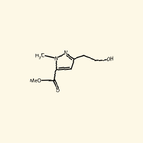 COC(=O)c1cc(CCO)nn1C